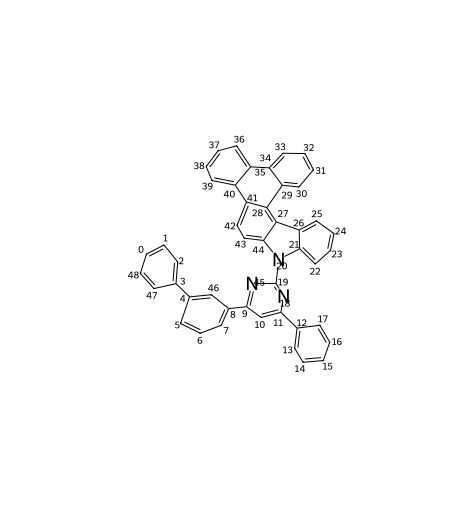 c1ccc(-c2cccc(-c3cc(-c4ccccc4)nc(-n4c5ccccc5c5c6c7ccccc7c7ccccc7c6ccc54)n3)c2)cc1